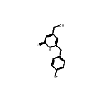 O=c1cc(CO)cc(Cc2ccc(Br)cc2)[nH]1